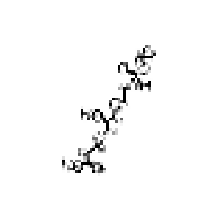 CC(C)(C)OC(=O)NCCOCC(O)COCCC(=O)O